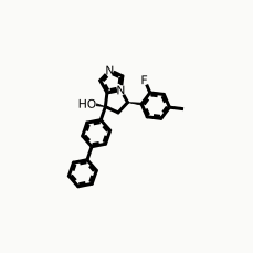 Cc1ccc([C@H]2C[C@](O)(c3ccc(-c4ccccc4)cc3)c3cncn32)c(F)c1